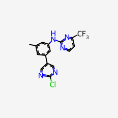 Cc1cc(Nc2nccc(C(F)(F)F)n2)cc(-c2cnc(Cl)nc2)c1